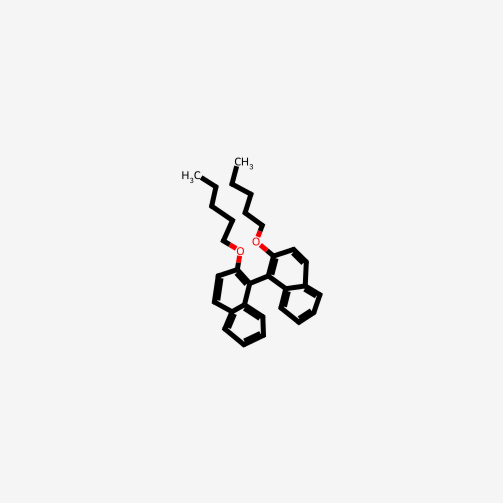 CCCCCOc1ccc2ccccc2c1-c1c(OCCCCC)ccc2ccccc12